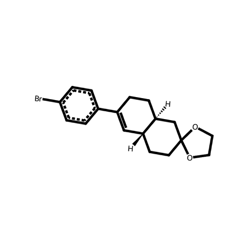 Brc1ccc(C2=C[C@H]3CCC4(C[C@@H]3CC2)OCCO4)cc1